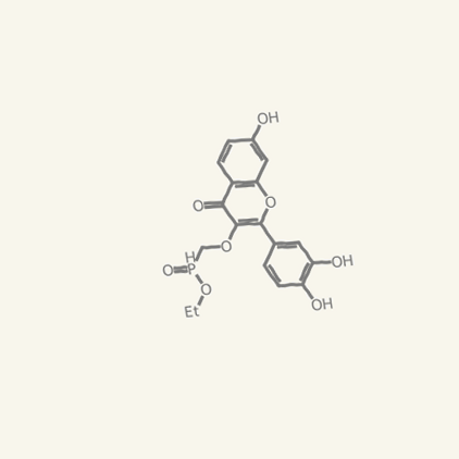 CCO[PH](=O)COc1c(-c2ccc(O)c(O)c2)oc2cc(O)ccc2c1=O